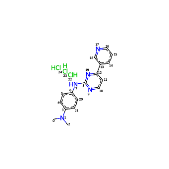 CN(C)c1ccc(Nc2nccc(-c3cccnc3)n2)cc1.Cl.Cl.Cl